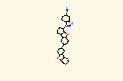 N#Cc1ccc2c(c1)ncn2-c1cccc2c1oc1ccc(-c3ccc4oc5ccccc5c4c3)cc12